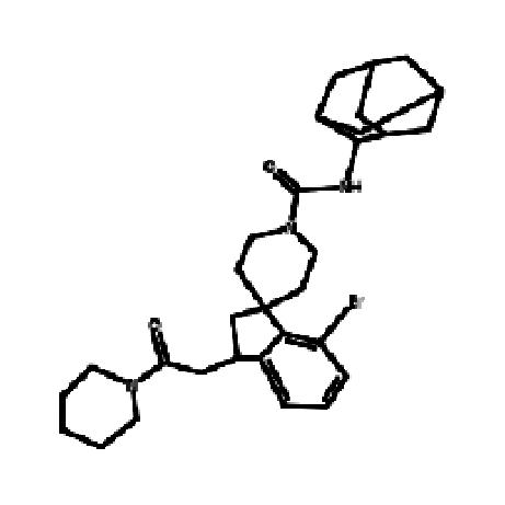 O=C(CC1CC2(CCN(C(=O)NC3C4CC5CC(C4)CC3C5)CC2)c2c(Br)cccc21)N1CCCCC1